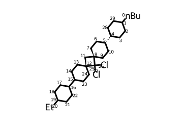 CCCCC1CCC([C@H]2CC[C@]3(CC2)C[C@@]2(CCC(C4CCC(CC)CC4)CC2)C3(Cl)Cl)CC1